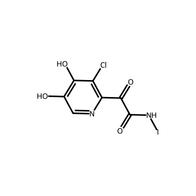 O=C(NI)C(=O)c1ncc(O)c(O)c1Cl